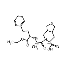 CCOC(=O)C(CCc1ccccc1)N[C@@H](C)C(=O)N1CC2CSCC2C[C@H]1C(=O)O